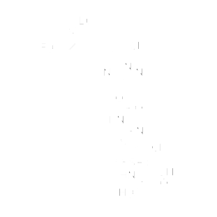 CCOc1cc(-c2cc(C(F)(F)F)n3ncc(OC(=O)Nc4nc(C)c(S(=O)(=O)NC(C)(CO)CO)s4)c3n2)ccc1C(F)(F)F